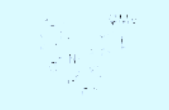 COc1cccc(C2CN(C(=O)c3ccccc3)c3ccccc32)c1